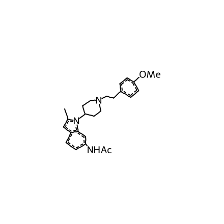 COc1ccc(CCN2CCC(n3c(C)cc4ccc(NC(C)=O)cc43)CC2)cc1